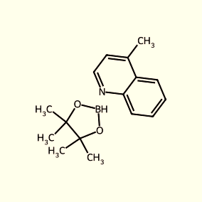 CC1(C)OBOC1(C)C.Cc1ccnc2ccccc12